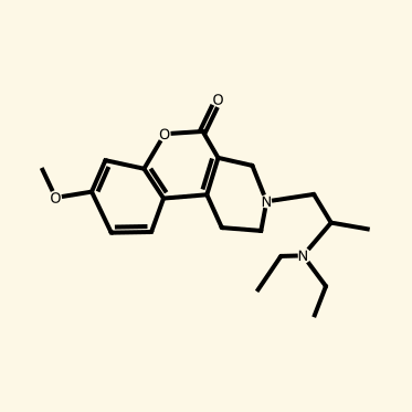 CCN(CC)C(C)CN1CCc2c(c(=O)oc3cc(OC)ccc23)C1